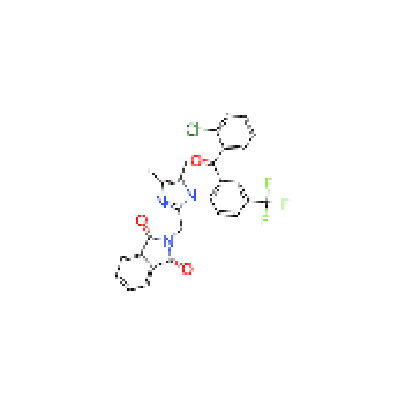 Cc1nc(CN2C(=O)c3ccccc3C2=O)n(-c2ccc(C(F)(F)F)cc2C(=O)c2ccccc2Cl)c1C